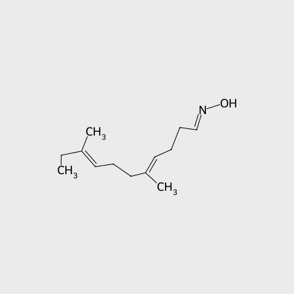 CCC(C)=CCCC(C)=CCCC=NO